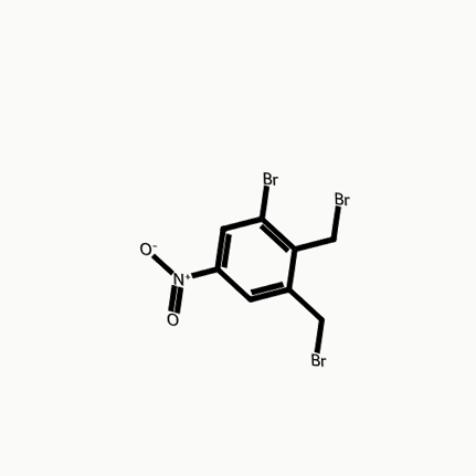 O=[N+]([O-])c1cc(Br)c(CBr)c(CBr)c1